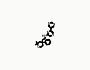 CC1(C)CC(CCNc2cncc(-c3cncnc3)n2)(c2ccccc2)CCO1